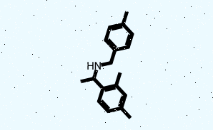 Cc1ccc(CNC(C)c2ccc(C)cc2C)cc1